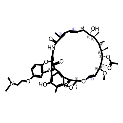 CO[C@H]1/C=C/O[C@@]2(C)Oc3c(C)c(O)c4c(=O)c(c5oc6ccc(OCCN(C)C)cc6nc-5c4c3C2=O)NC(=O)/C(C)=C\C=C\[C@H](C)[C@H](O)[C@@H](C)[C@@H](C)[C@@H](C)[C@H](OC(C)=O)[C@@H]1C